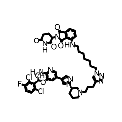 C[C@@H](Oc1cc(-c2cnn(C3CCCN(CCCc4cn(CCCCCCCNc5cccc6c5C(=O)N(C5CCC(=O)NC5=O)C6=O)nn4)C3)c2)cnc1N)c1c(Cl)ccc(F)c1Cl